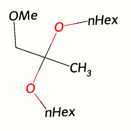 CCCCCCOC(C)(COC)OCCCCCC